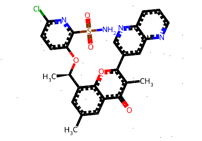 Cc1cc([C@@H](C)Oc2ccc(Cl)nc2S(N)(=O)=O)c2oc(-c3cnc4cccnc4c3)c(C)c(=O)c2c1